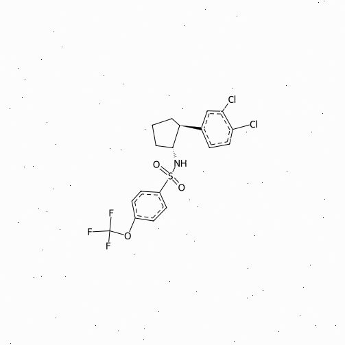 O=S(=O)(N[C@@H]1CCC[C@H]1c1ccc(Cl)c(Cl)c1)c1ccc(OC(F)(F)F)cc1